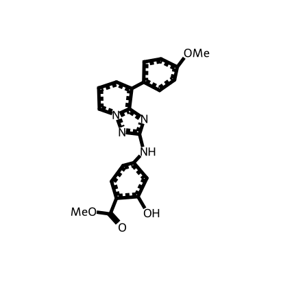 COC(=O)c1ccc(Nc2nc3c(-c4ccc(OC)cc4)cccn3n2)cc1O